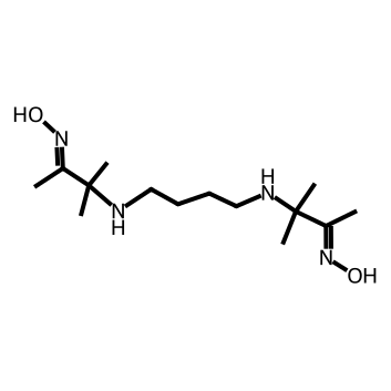 C/C(=N\O)C(C)(C)NCCCCNC(C)(C)/C(C)=N/O